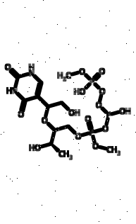 COP(=O)(O)OOP(O)OP(=O)(OC)OCC(OC(CO)c1c[nH]c(=O)[nH]c1=O)[C@@H](C)O